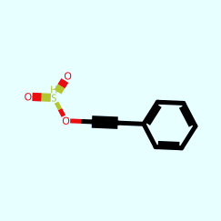 O=[SH](=O)OC#Cc1ccccc1